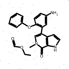 CCOC=O.Cn1cc(-c2cc(N)ccc2Oc2ccccc2)c2cc[nH]c2c1=O